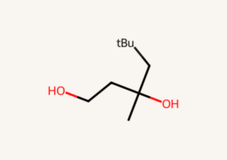 CC(C)(C)CC(C)(O)CCO